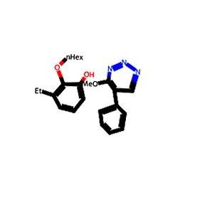 CCCCCCOc1c(O)cccc1CC.COc1nnncc1-c1ccccc1